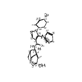 O=C(N[C@H]1C2CC3CC1C[C@](O)(C3)C2)c1cnn([C@H]2CC[C@@H](O)CC2)c1-n1cccn1